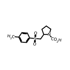 Cc1ccc(S(=O)(=O)CC2CCCN2C(=O)O)cc1